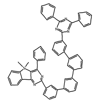 C[Si]1(C)c2ccccc2-c2nc(-c3cccc(-c4cccc(-c5cccc(-c6cccc(-c7nc(-c8ccccc8)nc(-c8ccccc8)n7)c6)c5)c4)c3)nc(-c3ccccc3)c21